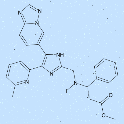 COC(=O)C[C@@H](c1ccccc1)N(I)Cc1nc(-c2cccc(C)n2)c(-c2ccc3ncnn3c2)[nH]1